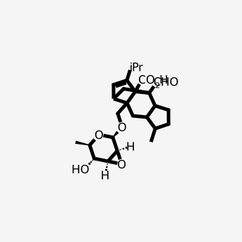 CC(C)C1=CC2CC3(C=O)C4CCC(C)C4CC2(CO[C@@H]2O[C@H](C)[C@@H](O)[C@@H]4O[C@H]24)C13C(=O)O